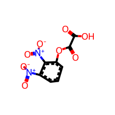 O=C(O)C(=O)Oc1cccc([N+](=O)[O-])c1[N+](=O)[O-]